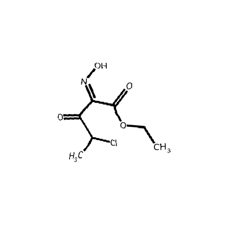 CCOC(=O)/C(=N\O)C(=O)C(C)Cl